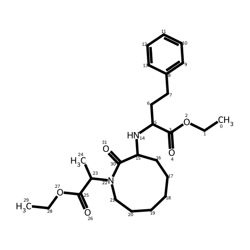 CCOC(=O)C(CCc1ccccc1)NC1CCCCCCN(C(C)C(=O)OCC)C1=O